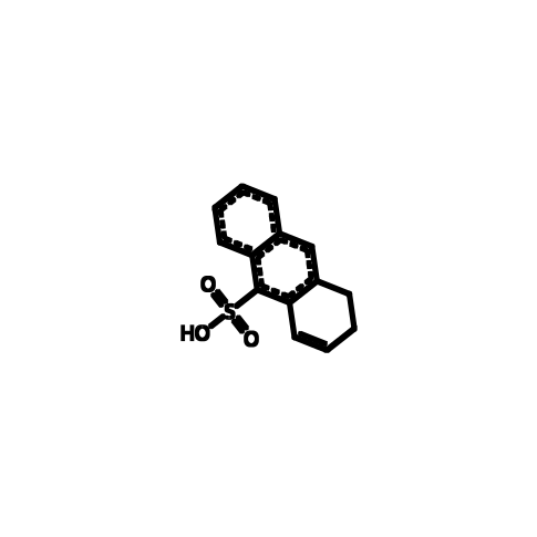 O=S(=O)(O)c1c2c(cc3ccccc13)CCC=C2